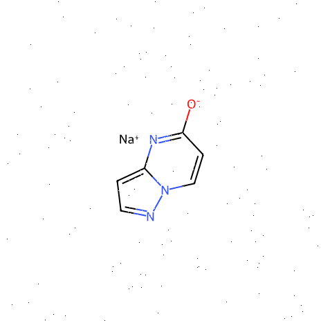 [Na+].[O-]c1ccn2nccc2n1